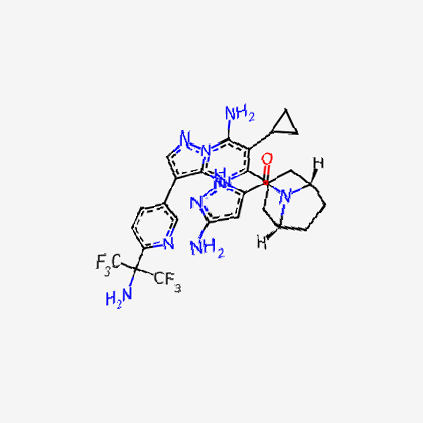 Nc1cc(C(=O)N2[C@@H]3CC[C@H]2CC(c2nc4c(-c5ccc(C(N)(C(F)(F)F)C(F)(F)F)nc5)cnn4c(N)c2C2CC2)C3)[nH]n1